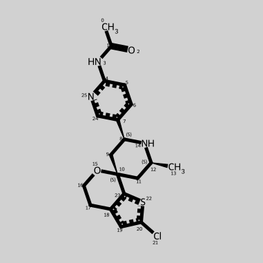 CC(=O)Nc1ccc([C@@H]2C[C@]3(C[C@H](C)N2)OCCc2cc(Cl)sc23)cn1